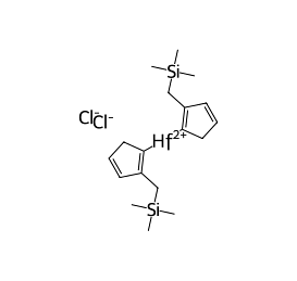 C[Si](C)(C)CC1=[C]([Hf+2][C]2=C(C[Si](C)(C)C)C=CC2)CC=C1.[Cl-].[Cl-]